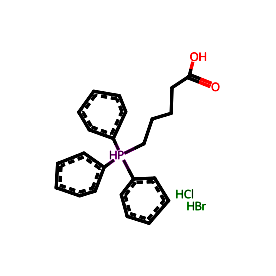 Br.Cl.O=C(O)CCCC[PH](c1ccccc1)(c1ccccc1)c1ccccc1